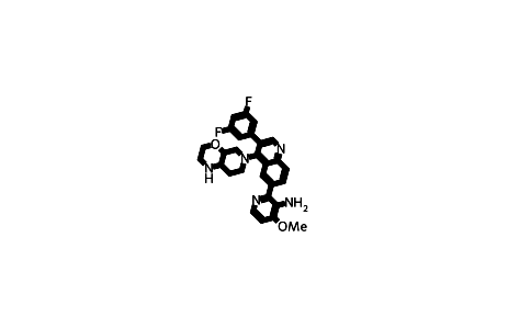 COc1ccnc(-c2ccc3ncc(-c4cc(F)cc(F)c4)c(N4CCC5NCCOC5C4)c3c2)c1N